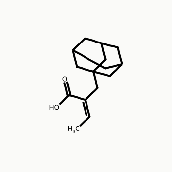 CC=C(CC12CC3CC(CC(C3)C1)C2)C(=O)O